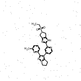 CCS(=O)(=O)N1Cc2nc(-c3cc(-c4c(-c5cccc(C)n5)nn5c4CCC5)ccn3)[nH]c2C1